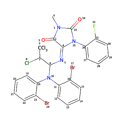 CN1C(=O)C(=NC(C(Cl)C(Cl)(Cl)Cl)N(c2ccccc2Br)c2ccccc2Br)N(c2ccccc2F)C1=O